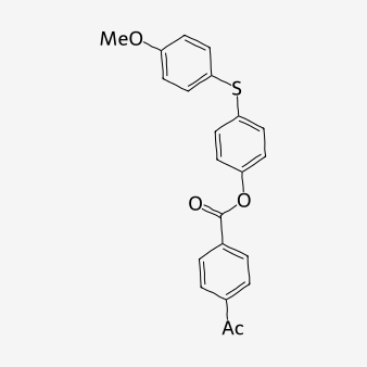 COc1ccc(Sc2ccc(OC(=O)c3ccc(C(C)=O)cc3)cc2)cc1